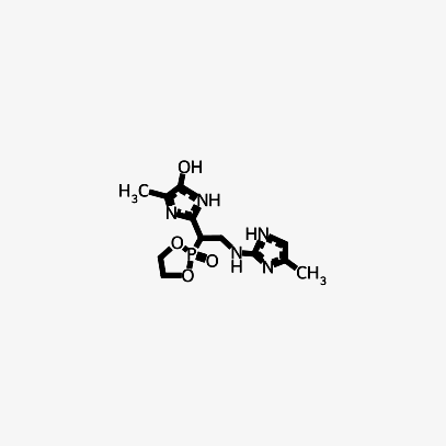 Cc1c[nH]c(NCC(c2nc(C)c(O)[nH]2)P2(=O)OCCO2)n1